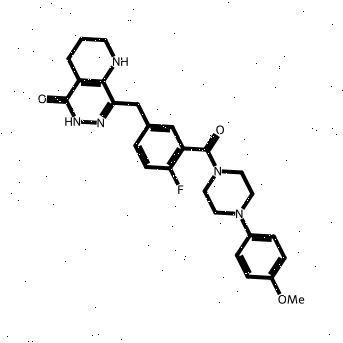 COc1ccc(N2CCN(C(=O)c3cc(Cc4n[nH]c(=O)c5c4NCCC5)ccc3F)CC2)cc1